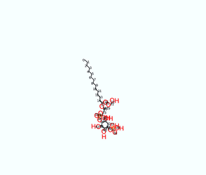 CCCCCCCCCCCCCCCC(=O)O[C@H](COCO)COP(=O)(O)OC1C(O)C[C@H](OP(=O)(O)O)C(O)[C@@H]1O